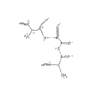 CCCCCC(C)C(=O)OC(=O)C(=O)OC(=O)C(C)CCCCC